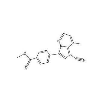 COC(=O)c1ccc(-c2cc(C#N)c3c(C)ccnn23)cc1